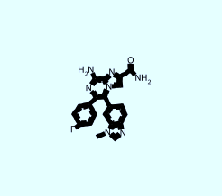 Cn1cnc2ccc(-c3c(-c4ccc(F)cc4)nc(N)c4nc(C(N)=O)cn34)cc21